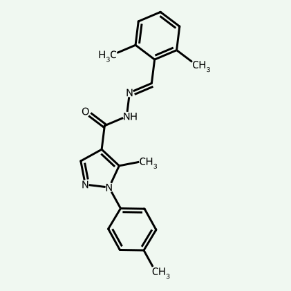 Cc1ccc(-n2ncc(C(=O)NN=Cc3c(C)cccc3C)c2C)cc1